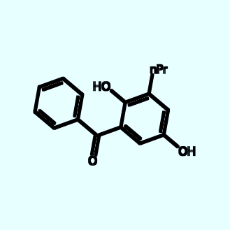 CCCc1cc(O)cc(C(=O)c2ccccc2)c1O